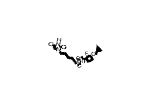 CC(NS(=O)(=O)CCCCCN1CC(=O)NC1=O)c1cccc(OCC2CC2)c1F